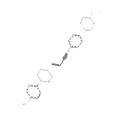 CCCCC[C@H]1CC[C@H](c2ccc(C#C/C=C/[C@H]3CC[C@H](c4ccc(OCCCC)cc4)CC3)cc2)CC1